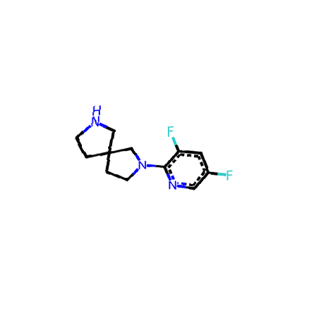 Fc1cnc(N2CCC3(CCNC3)C2)c(F)c1